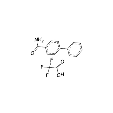 NC(=O)c1ccc(-c2ccccc2)cc1.O=C(O)C(F)(F)F